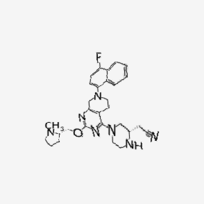 CN1CCC[C@H]1COc1nc2c(c(N3CCN[C@@H](CC#N)C3)n1)CCN(c1ccc(F)c3ccccc13)C2